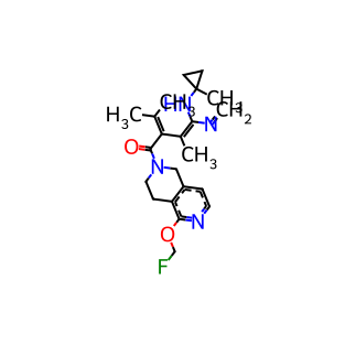 C=N/C(NC1(C)CC1)=C(\C)C(C(=O)N1CCc2c(ccnc2OCF)C1)=C(C)C